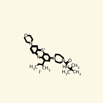 CCC(C)c1cc(N2CCCN(C(=O)NC(C)(C)C)CC2)cc2[s+]c3cc(N4CCOCC4)ccc3nc12.[I-]